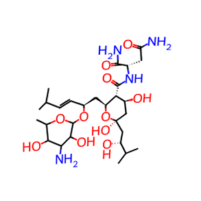 CC(C)/C=C/[C@@H](C[C@@H]1O[C@](O)(C[C@@H](O)C(C)C)C[C@H](O)[C@H]1C(=O)N[C@@H](CC(N)=O)C(N)=O)OC1OC(C)C(O)C(N)C1O